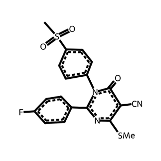 CSc1nc(-c2ccc(F)cc2)n(-c2ccc(S(C)(=O)=O)cc2)c(=O)c1C#N